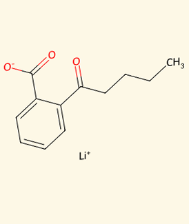 CCCCC(=O)c1ccccc1C(=O)[O-].[Li+]